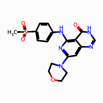 CS(=O)(=O)c1ccc(Nc2nc(N3CCOCC3)cc3nc[nH]c(=O)c23)cc1